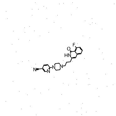 N#Cc1ccc(N2CCN(CCCc3cc4cccc(F)c4c(=O)[nH]3)CC2)nc1